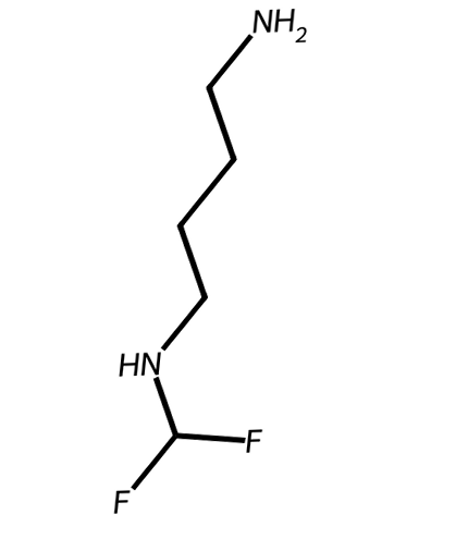 NCCCCNC(F)F